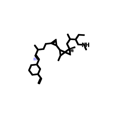 C=CC1CCCC(/C=C/C(C)CCC2=CC2C2C(C)C23C[C@@]3(C)CC(C)C(CC)CNC)C1